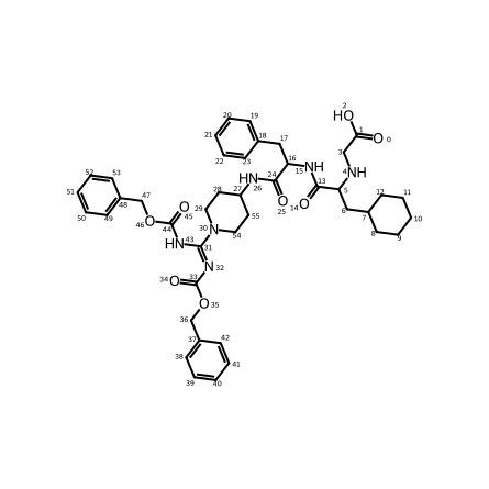 O=C(O)CNC(CC1CCCCC1)C(=O)NC(Cc1ccccc1)C(=O)NC1CCN(C(=NC(=O)OCc2ccccc2)NC(=O)OCc2ccccc2)CC1